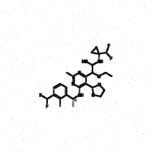 CCOC(c1nc(C)nc(N[C@H](C)c2cccc(C(F)F)c2C)c1C1OCCO1)C(O)NC1(C(F)F)CC1